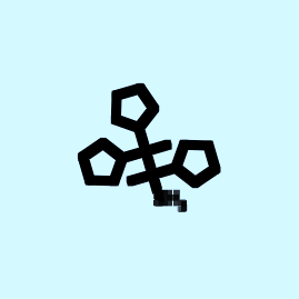 CC([SiH3])(C1CCCC1)C(C)(C1CCCC1)C1CCCC1